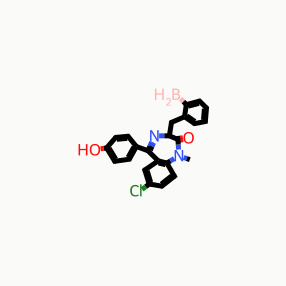 Bc1ccccc1CC1N=C(c2ccc(O)cc2)c2cc(Cl)ccc2N(C)C1=O